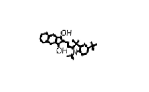 CC(C)N1C2CCC(C(C)(C)C)CC2C(C)(C)C1CCC1C(O)C2CC3CCCCC3CC2C1O